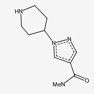 CNC(=O)c1cnn(C2CCNCC2)c1